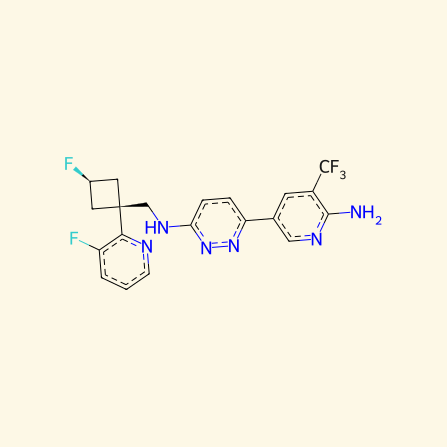 Nc1ncc(-c2ccc(NC[C@]3(c4ncccc4F)C[C@H](F)C3)nn2)cc1C(F)(F)F